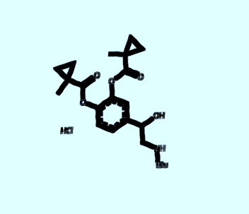 CC(C)(C)NCC(O)c1ccc(OC(=O)C2(C)CC2)c(OC(=O)C2(C)CC2)c1.Cl